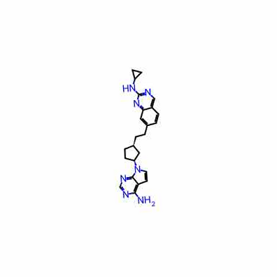 Nc1ncnc2c1ccn2[C@H]1CC[C@@H](CCc2ccc3cnc(NC4CC4)nc3c2)C1